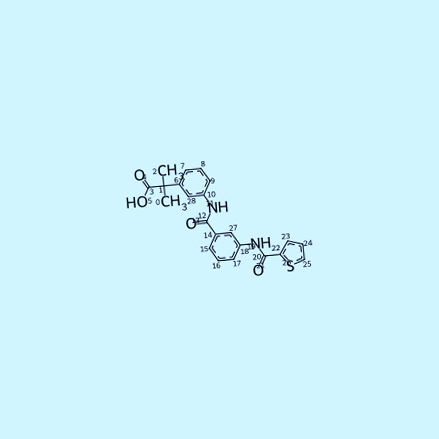 CC(C)(C(=O)O)c1cccc(NC(=O)c2cccc(NC(=O)c3cccs3)c2)c1